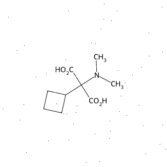 CN(C)C(C(=O)O)(C(=O)O)C1CCC1